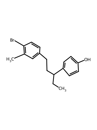 CCC(CCc1ccc(Br)c(C)c1)c1ccc(O)cc1